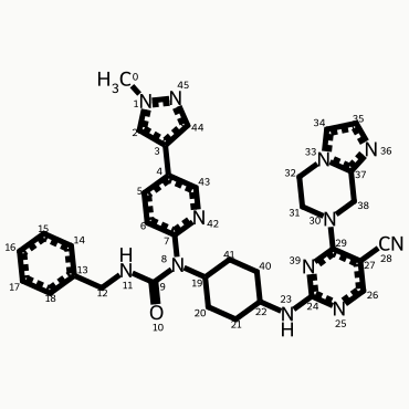 Cn1cc(-c2ccc(N(C(=O)NCc3ccccc3)C3CCC(Nc4ncc(C#N)c(N5CCn6ccnc6C5)n4)CC3)nc2)cn1